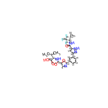 CC(C)C(NC(=O)c1cnc(-c2cccc(-c3cc(C(=O)NC(C4CC4)C(F)(F)F)[nH]n3)c2)o1)C(=O)O